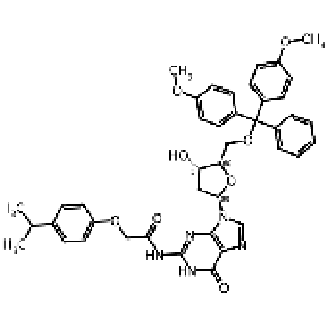 COc1ccc(C(OC[C@H]2O[C@@H](n3cnc4c(=O)[nH]c(NC(=O)COc5ccc(C(C)C)cc5)nc43)C[C@@H]2O)(c2ccccc2)c2ccc(OC)cc2)cc1